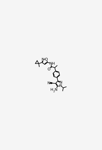 CC(C(=O)Nc1cc(C2(C)CC2)no1)c1ccc(-c2nn(C(C)C)c(N)c2C#N)cc1